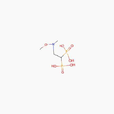 CON(C)CC(P(=O)(O)O)P(=O)(O)O